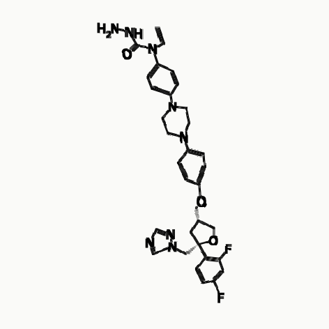 C=CN(C(=O)NN)c1ccc(N2CCN(c3ccc(OC[C@@H]4CO[C@@](Cn5cncn5)(c5ccc(F)cc5F)C4)cc3)CC2)cc1